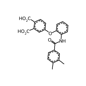 Cc1ccc(C(=O)Nc2ccccc2Oc2ccc(C(=O)O)c(C(=O)O)c2)cc1C